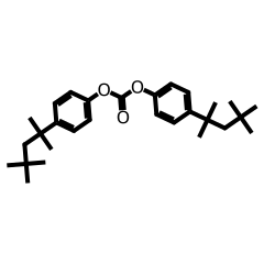 CC(C)(C)CC(C)(C)c1ccc(OC(=O)Oc2ccc(C(C)(C)CC(C)(C)C)cc2)cc1